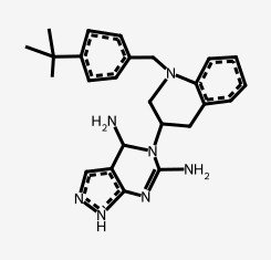 CC(C)(C)c1ccc(CN2CC(N3C(N)=Nc4[nH]ncc4C3N)Cc3ccccc32)cc1